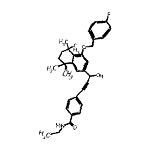 CCNC(=O)c1ccc(C#CC(O)c2cc(OCc3ccc(F)cc3)c3c(c2)C(C)(C)CCC3(C)C)cc1